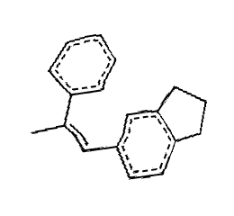 CC(=Cc1ccc2c(c1)CCC2)c1ccccc1